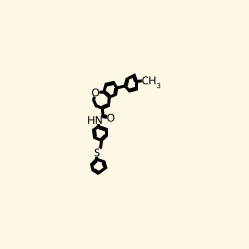 Cc1ccc(-c2ccc3c(c2)C=C(C(=O)Nc2ccc(CSc4ccccc4)cc2)CCO3)cc1